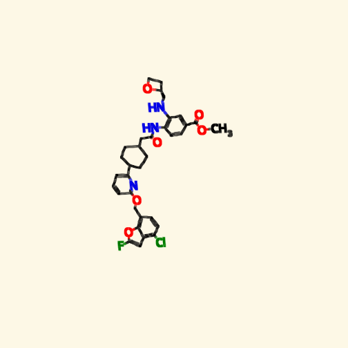 COC(=O)c1ccc(NC(=O)CC2CCC(c3cccc(OCc4ccc(Cl)c5cc(F)oc45)n3)CC2)c(NC[C@@H]2CCO2)c1